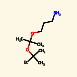 CCC(C)(C)OC(C)(C)OCCCN